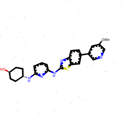 COc1cncc(-c2ccc3nc(Nc4cccc(N[C@H]5CC[C@H](O)CC5)n4)sc3c2)c1